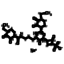 CCN1CCN(C(=O)NCCCC(NC(=O)N2CCN(CC)C(=O)C2=O)C(=O)NC2CN(S(=O)(=O)[O-])C2=O)C(=O)C1=O.[Na+]